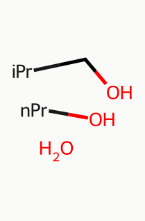 CC(C)CO.CCCO.O